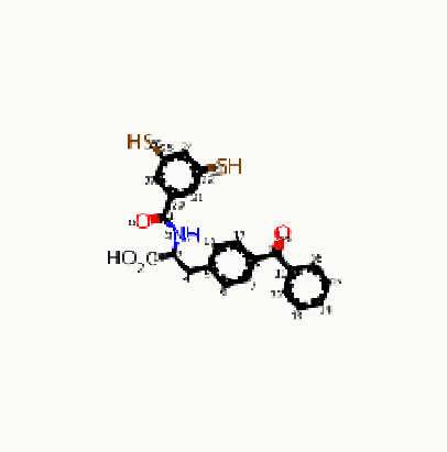 O=C(NC(Cc1ccc(C(=O)c2ccccc2)cc1)C(=O)O)c1cc(S)cc(S)c1